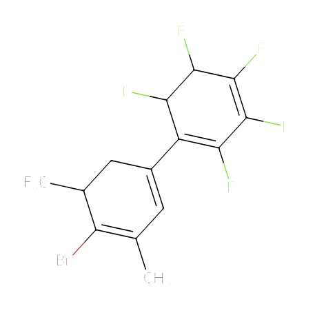 CC1=C(Br)C(C(F)(F)F)CC(C2=C(F)C(F)=C(F)C(F)C2F)=C1